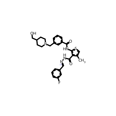 Cc1csc(NC(=O)c2cccc(CN3CCC(CO)CC3)c2)c1C(=O)N/N=C/c1cccc(F)c1